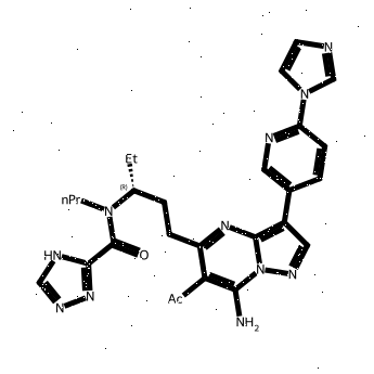 CCCN(C(=O)c1nnc[nH]1)[C@H](CC)CCc1nc2c(-c3ccc(-n4ccnc4)nc3)cnn2c(N)c1C(C)=O